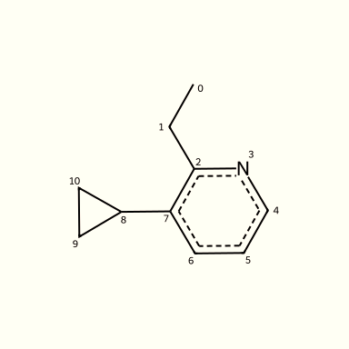 CCc1ncccc1C1CC1